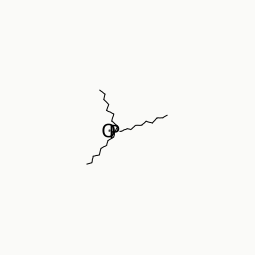 CCCCCCCCCCP(=O)(CCCCCCCC)CCCCCCCC